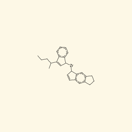 CCCC(C)C1=C[CH]([Zr][CH]2C=Cc3cc4c(cc32)CCC4)c2ccccc21